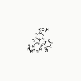 O=C(O)N1CCc2c(sc3c2C(c2ccccc2Cl)=NCc2nncn2-3)C1